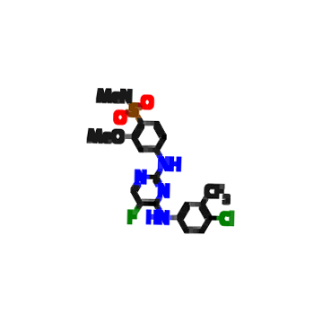 CNS(=O)(=O)c1ccc(Nc2ncc(F)c(Nc3ccc(Cl)c(C(F)(F)F)c3)n2)cc1OC